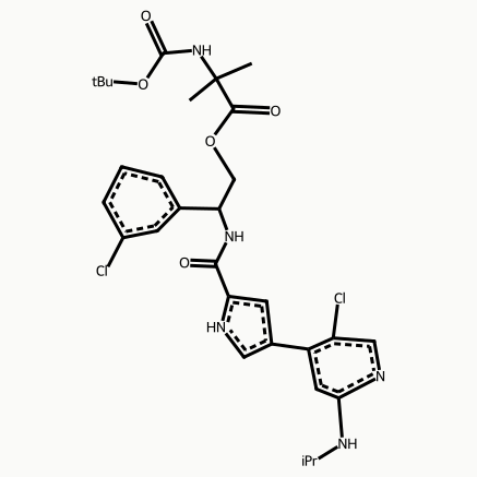 CC(C)Nc1cc(-c2c[nH]c(C(=O)NC(COC(=O)C(C)(C)NC(=O)OC(C)(C)C)c3cccc(Cl)c3)c2)c(Cl)cn1